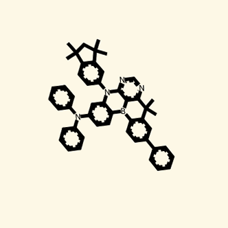 CC1(C)CC(C)(C)c2cc(N3c4cc(N(c5ccccc5)c5ccccc5)ccc4B4c5ccc(-c6ccccc6)cc5C(C)(C)c5ncnc3c54)ccc21